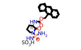 NP(=O)(NS(=O)(=O)O)N1CCC[C@H](NC(=O)OCc2c3ccccc3cc3ccccc23)C1=O